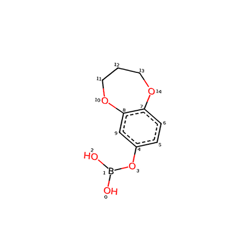 OB(O)Oc1ccc2c(c1)OCCCO2